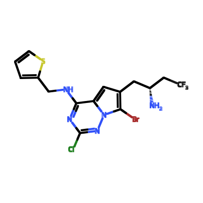 N[C@H](Cc1cc2c(NCc3cccs3)nc(Cl)nn2c1Br)CC(F)(F)F